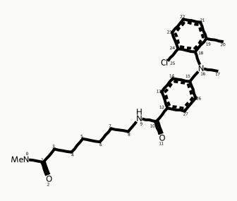 CNC(=O)CCCCCCNC(=O)c1ccc(N(C)c2c(C)cccc2Cl)cc1